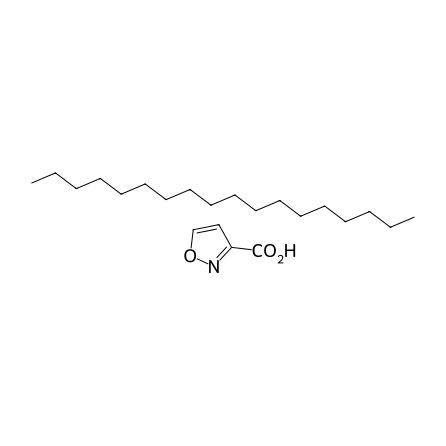 CCCCCCCCCCCCCCCCCC.O=C(O)c1ccon1